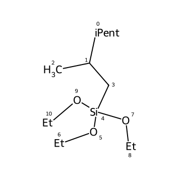 CCCC(C)C(C)C[Si](OCC)(OCC)OCC